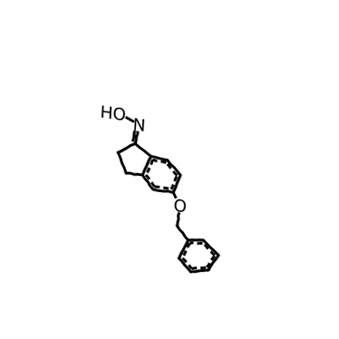 O/N=C1\CCc2cc(OCc3ccccc3)ccc21